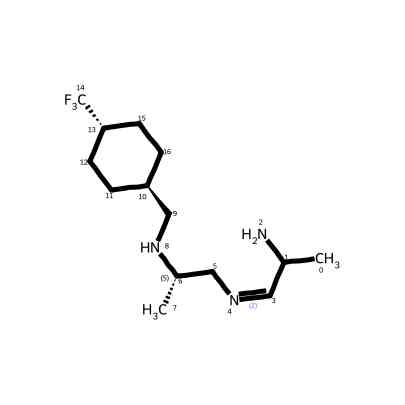 CC(N)/C=N\C[C@H](C)NC[C@H]1CC[C@H](C(F)(F)F)CC1